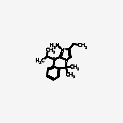 CCc1cn2c([n+]1N)B(C(C)C)c1ccccc1C2(C)C